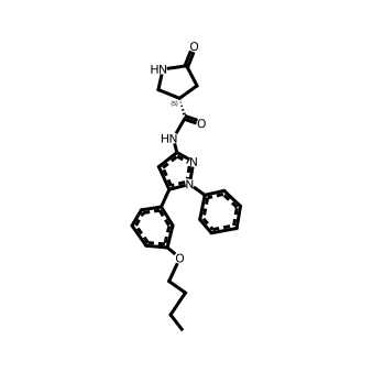 CCCCOc1cccc(-c2cc(NC(=O)[C@@H]3CNC(=O)C3)nn2-c2ccccc2)c1